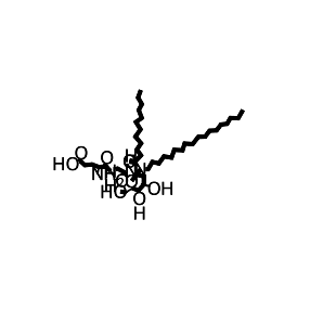 CCCCCCCCCCCCCCCCCCN(C(=O)CCCCCCCCCCC)[C@@]1(NC(=O)CNC(=O)[C@@H](N)CCC(=O)O)C[C@@H](O)[C@H](O)[C@@H](CO)O1